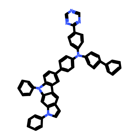 c1ccc(-c2ccc(N(c3ccc(-c4ccc5c(c4)c4cc6ccn(-c7ccccc7)c6cc4n5-c4ccccc4)cc3)c3ccc(-c4ncncn4)cc3)cc2)cc1